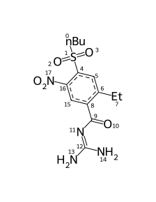 CCCCS(=O)(=O)c1cc(CC)c(C(=O)N=C(N)N)cc1[N+](=O)[O-]